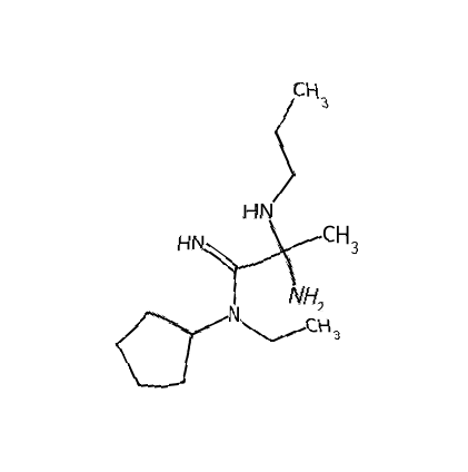 CCCNC(C)(N)C(=N)N(CC)C1CCCC1